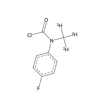 [2H]C([2H])([2H])N(C(=O)Cl)c1ccc(F)cc1